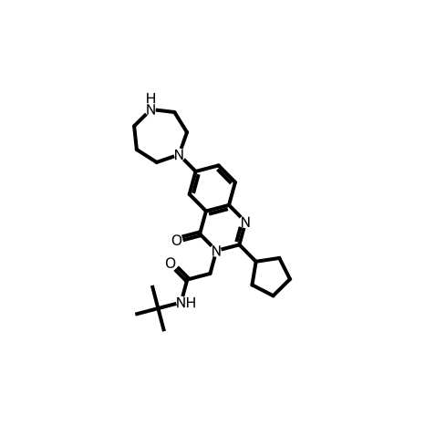 CC(C)(C)NC(=O)Cn1c(C2CCCC2)nc2ccc(N3CCCNCC3)cc2c1=O